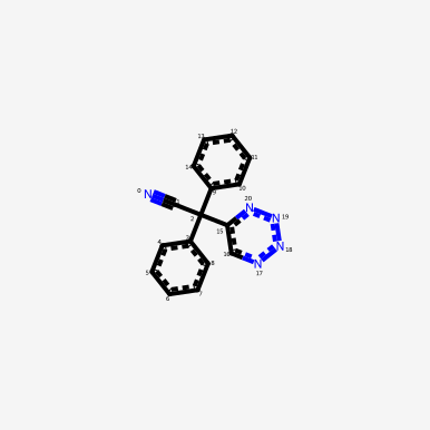 N#CC(c1ccccc1)(c1ccccc1)c1cnnnn1